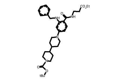 CCOC(=O)CCNC(=O)c1ccc(N2CCC(C3CCN(C(=O)OC(C)(C)C)CC3)CC2)cc1NCc1ccccc1